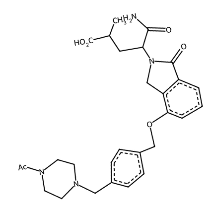 CC(=O)N1CCN(Cc2ccc(COc3cccc4c3CN(C(CC(C)C(=O)O)C(N)=O)C4=O)cc2)CC1